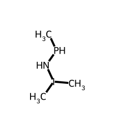 CPNI(C)C